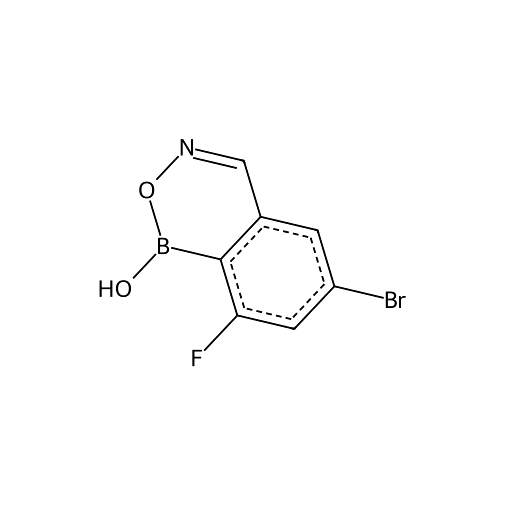 OB1ON=Cc2cc(Br)cc(F)c21